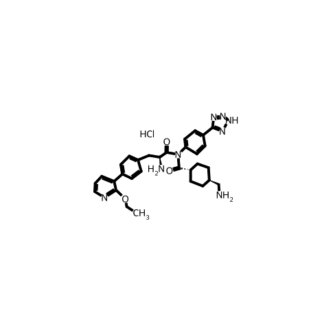 CCOc1ncccc1-c1ccc(C[C@H](N)C(=O)N(c2ccc(-c3nn[nH]n3)cc2)C(=O)[C@H]2CC[C@H](CN)CC2)cc1.Cl